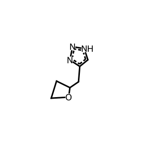 c1[nH]nnc1CC1CCO1